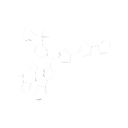 CC1(C)c2ccccc2-c2ccc(N(c3ccc(-c4ccc5c(c4)sc4ccccc45)cc3)c3ccc4c(c3)C3(c5ccccc5-4)c4ccccc4C(C)(C)c4ccccc43)cc21